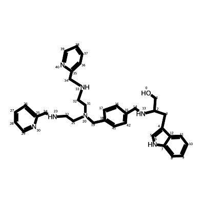 OCC(Cc1c[nH]c2ccccc12)NCc1ccc(CN(CCNCc2ccccn2)CCNCc2ccccn2)cc1